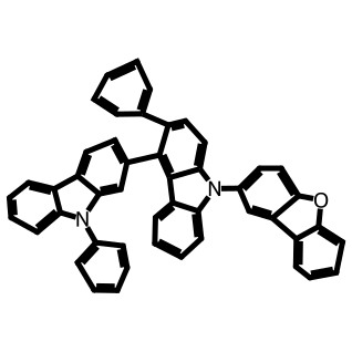 c1ccc(-c2ccc3c(c2-c2ccc4c5ccccc5n(-c5ccccc5)c4c2)c2ccccc2n3-c2ccc3oc4ccccc4c3c2)cc1